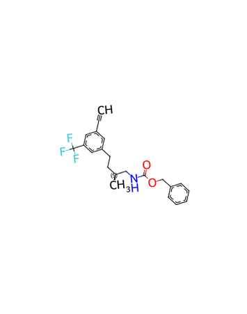 C#Cc1cc(CC[C@H](C)CNC(=O)OCc2ccccc2)cc(C(F)(F)F)c1